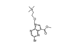 COC(=O)c1cn(COCC[Si](C)(C)C)c2ncc(Br)nc12